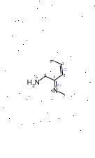 C/C=C\C(CN)=N/C